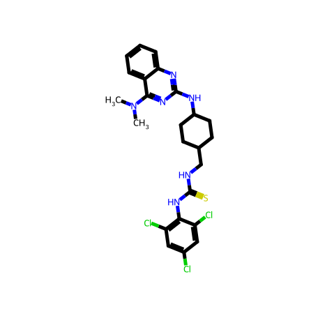 CN(C)c1nc(NC2CCC(CNC(=S)Nc3c(Cl)cc(Cl)cc3Cl)CC2)nc2ccccc12